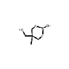 CC1(CO)COB(O)OC1